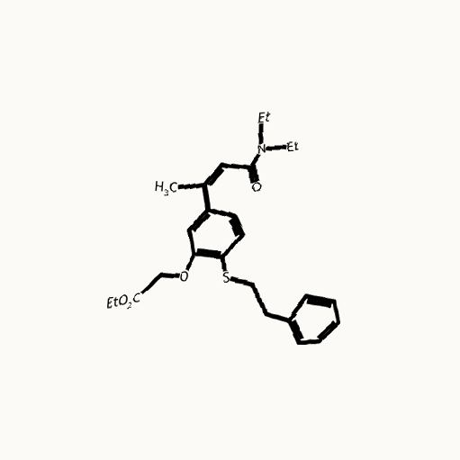 CCOC(=O)COc1cc(/C(C)=C\C(=O)N(CC)CC)ccc1SCCc1ccccc1